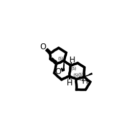 C[C@@]12CCC[C@H]1[C@@H]1CCC3=CC(=O)CC[C@]3(C=O)[C@H]1CC2